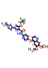 COc1cc2nccc(Oc3ccc(NC(=O)c4nn(C5CCN(C)C5)cc4OCC(F)(F)F)nn3)c2cc1OC